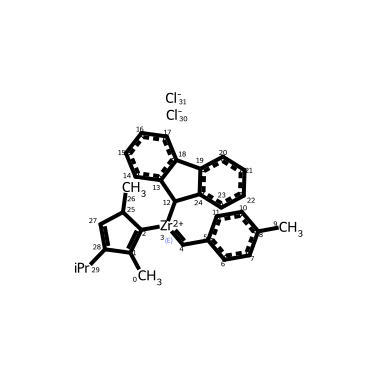 CC1=[C](/[Zr+2](=[CH]/c2ccc(C)cc2)[CH]2c3ccccc3-c3ccccc32)C(C)C=C1C(C)C.[Cl-].[Cl-]